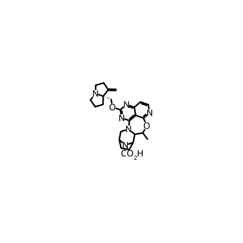 C=C1CCN2CCC[C@]12COc1nc2c3c(nccc3n1)OC(C)C1C3CCC(CN21)N3C(=O)O